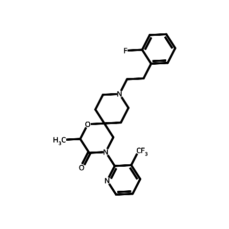 CC1OC2(CCN(CCc3ccccc3F)CC2)CN(c2ncccc2C(F)(F)F)C1=O